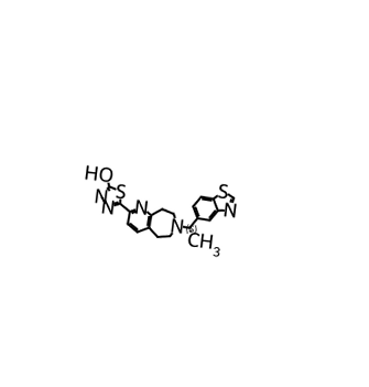 C[C@@H](c1ccc2scnc2c1)N1CCc2ccc(-c3nnc(O)s3)nc2CC1